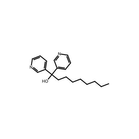 CCCCCCCCC(O)(c1cccnc1)c1cccnc1